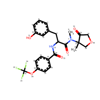 CN(C(=O)C(Cc1cccc(O)c1)NC(=O)c1ccc(OC(F)(F)F)cc1)C1(C)COCC1=O